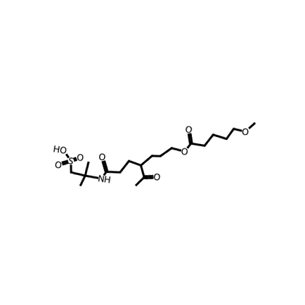 COCCCCC(=O)OCCCC(CCC(=O)NC(C)(C)CS(=O)(=O)O)C(C)=O